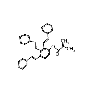 C=C(C)C(=O)Oc1ccc(C=Cc2ccccc2)c(C=Cc2ccccc2)c1C=Cc1ccccc1